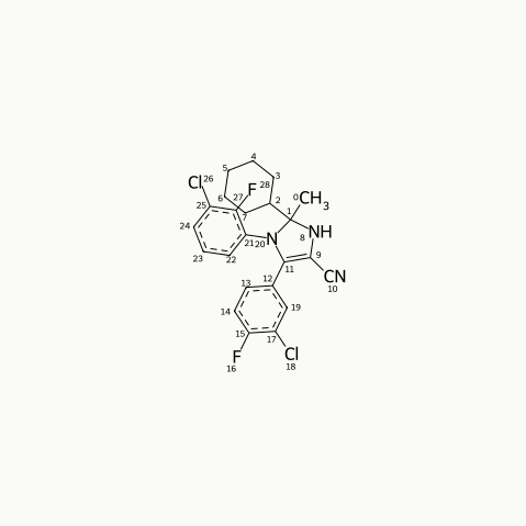 CC1(C2CCCCC2)NC(C#N)=C(c2ccc(F)c(Cl)c2)N1c1cccc(Cl)c1F